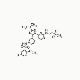 COc1ccc(F)cc1S(=O)(=O)Nc1cccc(-c2nc(C(C)C)sc2-c2ccnc(NCCS(C)(=O)=O)n2)c1